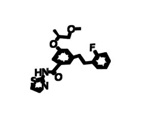 COC[C@H](C)Oc1cc(CCc2ccccc2F)cc(C(=O)Nc2nccs2)c1